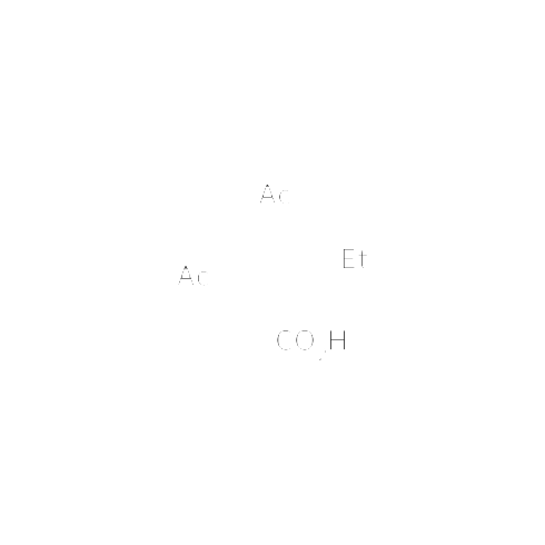 CCC(C(C)=O)(C(C)=O)C(=O)O